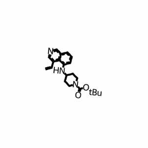 C=Cc1cncc2cccc(NC3CCN(C(=O)OC(C)(C)C)CC3)c12